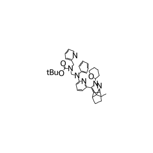 CC(C)(C)OC(=O)N(Cc1ccccn1)CN(c1ccccc1)c1cccc(-c2c3c(nn2C2CCCCO2)C2(C)CCC3C2(C)C)n1